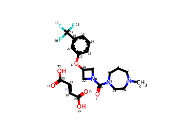 CN1CCCN(C(=O)N2CC(Oc3cccc(C(F)(F)F)c3)C2)CC1.O=C(O)/C=C/C(=O)O